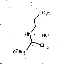 CCCCCC(C)NCCC(=O)O.Cl